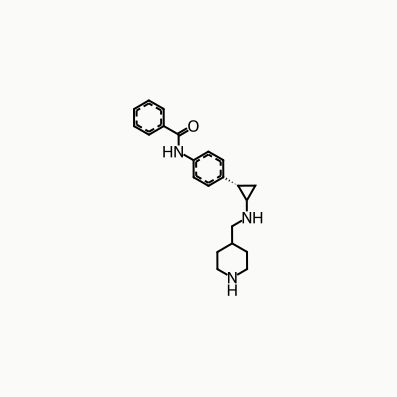 O=C(Nc1ccc([C@@H]2CC2NCC2CCNCC2)cc1)c1ccccc1